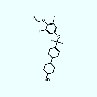 CCCC1CCC(C2CC=C(C(F)(F)Oc3cc(F)c(OCF)c(F)c3)CC2)CC1